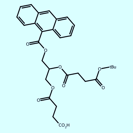 CC(C)(C)OC(=O)CCC(=O)OC(COC(=O)CCC(=O)O)COC(=O)c1c2ccccc2cc2ccccc12